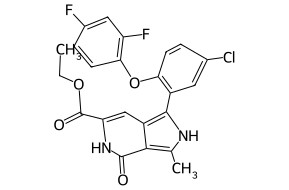 CCOC(=O)c1cc2c(-c3cc(Cl)ccc3Oc3ccc(F)cc3F)[nH]c(C)c2c(=O)[nH]1